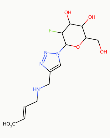 O=C(O)C=CCNCc1cn(C2OC(CO)C(O)C(O)C2F)nn1